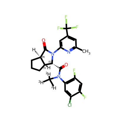 [2H]C([2H])([2H])N(C(=O)[C@@H]1[C@H]2CCC[C@H]2C(=O)N1c1cc(C(F)(F)F)cc(C)n1)c1cc(Cl)c(F)cc1F